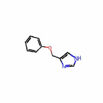 c1ccc(OCc2c[nH]cn2)cc1